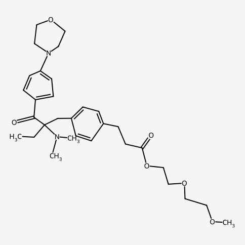 CCC(Cc1ccc(CCC(=O)OCCOCCOC)cc1)(C(=O)c1ccc(N2CCOCC2)cc1)N(C)C